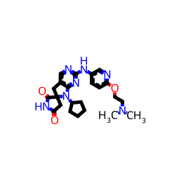 CN(C)CCOc1ccc(Nc2ncc3c(n2)N(C2CCCC2)C2(CC(=O)NC2=O)C3)cn1